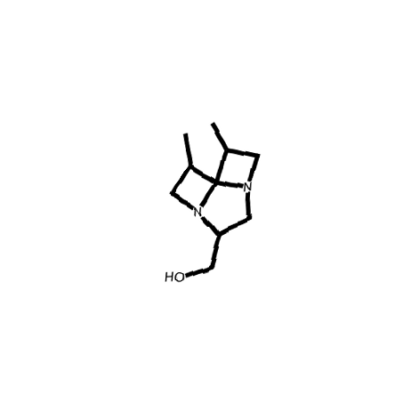 CC1CN2CC(CO)N3CC(C)C123